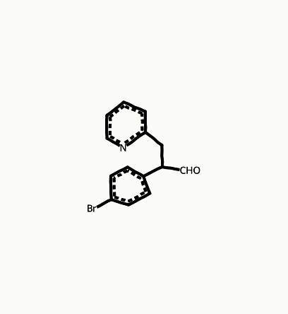 O=CC(Cc1ccccn1)c1ccc(Br)cc1